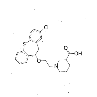 O=C(O)C1CCCN(CCOC2Cc3cc(Cl)ccc3Sc3ccccc32)C1